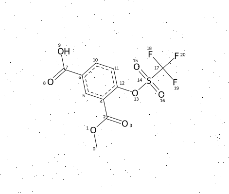 COC(=O)c1cc(C(=O)O)ccc1OS(=O)(=O)C(F)(F)F